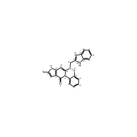 Cc1cc2c(=O)n(-c3ccccc3F)c(SCc3nc4ccccc4[nH]3)nc2s1